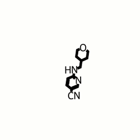 N#Cc1ccc(NCC2CCOCC2)nc1